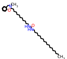 CCCCCCCCCCCCCCCCCCNC(=O)NCCCCCCCCCCCC(=O)N(C)Cc1ccccc1